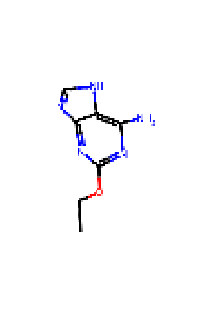 CCOc1nc(N)c2c(n1)[N+]=CN2